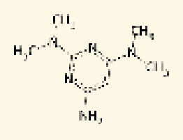 CN(C)c1cc(N)nc(N(C)C)n1